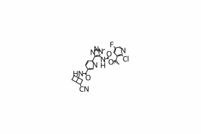 C[C@@H](OC(=O)Nc1c(-c2ccc(C(=O)NC34CCC3C(C#N)C4)cn2)nnn1C)c1cc(F)cnc1Cl